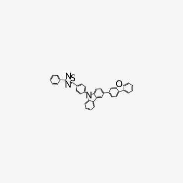 c1ccc(-c2nsc(-c3ccc(-n4c5ccccc5c5cc(-c6ccc7c(c6)oc6ccccc67)ccc54)cc3)n2)cc1